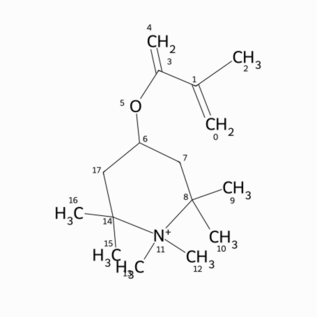 C=C(C)C(=C)OC1CC(C)(C)[N+](C)(C)C(C)(C)C1